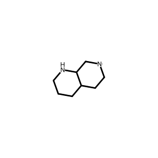 C1CNC2C[N]CCC2C1